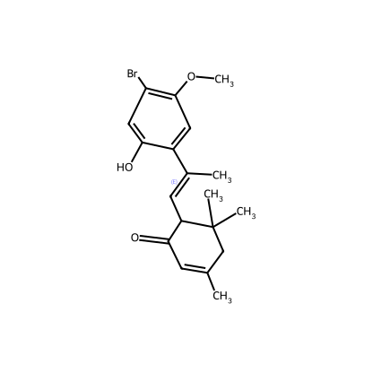 COc1cc(/C(C)=C/C2C(=O)C=C(C)CC2(C)C)c(O)cc1Br